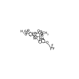 CS(=O)(=O)CC(=O)Nc1c2c(nn1-c1ccc(S(C)(=O)=O)cc1)C[C@]1(CCc3cc(OCCCC(F)(F)F)ccc31)NC2=O